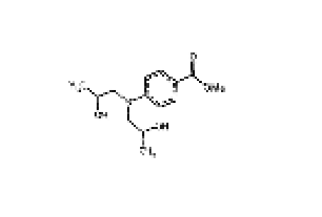 COC(=O)c1ccc(N(CC(C)O)CC(C)O)cc1